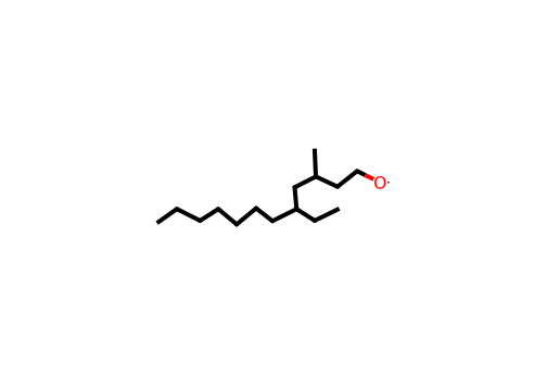 CCCCCCCC(CC)CC(C)CC[O]